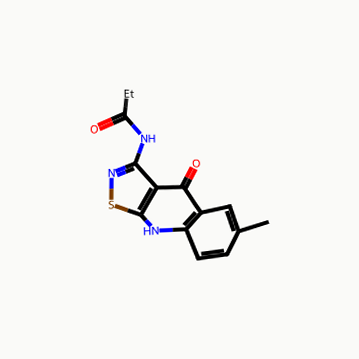 CCC(=O)Nc1nsc2[nH]c3ccc(C)cc3c(=O)c12